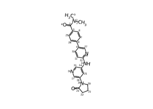 CN(C)C(=O)c1ccc(-c2ccc(Nc3cncc(N4CCCC4=O)c3)nc2)cc1